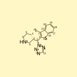 Ic1c([C@H]([C@H]2CCCNC2)n2ncnn2)sc2ccccc12